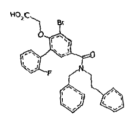 O=C(O)COc1c(Br)cc(C(=O)N(CCc2ccccc2)Cc2ccccc2)cc1-c1ccccc1F